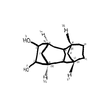 OC1C(O)[C@@H]2C[C@H]1C1C2[C@@H]2CC[C@H]1C2